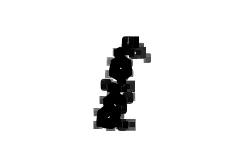 CN(C)Cc1ccc(NC(=O)c2cc3cccc(O)c3oc2=O)cc1